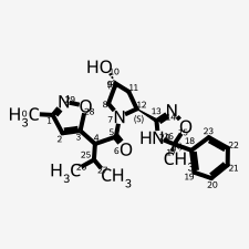 Cc1cc(C(C(=O)N2C[C@H](O)C[C@H]2C2=NO[C@](C)(c3ccccc3)N2)C(C)C)on1